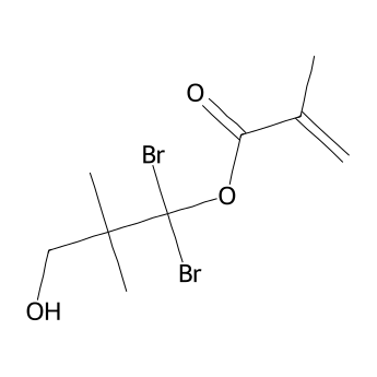 C=C(C)C(=O)OC(Br)(Br)C(C)(C)CO